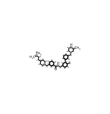 C[C@H]1CN(Cc2cccc(-c3cc(CNC(=O)c4cccc(CN5CCC(CCN(C)C)CC5)c4)ccc3F)c2)CCN1